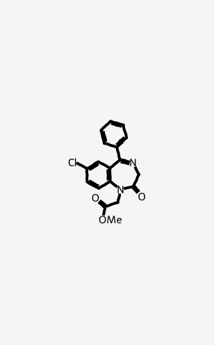 COC(=O)CN1C(=O)CN=C(c2ccccc2)c2cc(Cl)ccc21